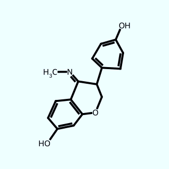 CN=C1c2ccc(O)cc2OCC1c1ccc(O)cc1